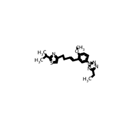 CCc1nnn(-c2ccc(OC)c(/C=C/CCc3csc(C(C)C)n3)c2)n1